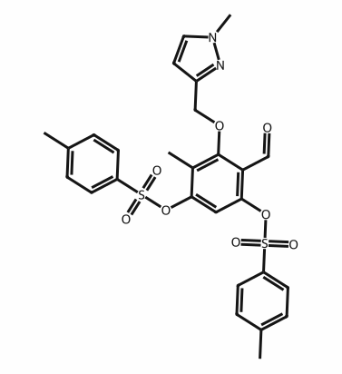 Cc1ccc(S(=O)(=O)Oc2cc(OS(=O)(=O)c3ccc(C)cc3)c(C=O)c(OCc3ccn(C)n3)c2C)cc1